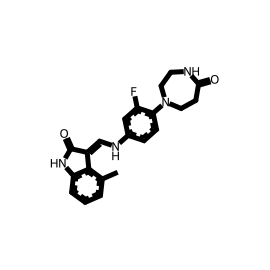 Cc1cccc2c1/C(=C\Nc1ccc(N3CCNC(=O)CC3)c(F)c1)C(=O)N2